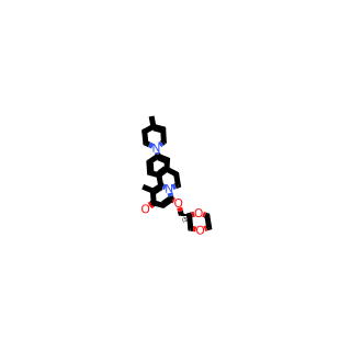 CC1=CCN(c2ccc3c(c2)CCn2c(OC[C@@H]4COCCO4)cc(=O)c(C)c2-3)CC1